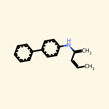 C=C(/C=C\C)Nc1ccc(-c2ccccc2)cc1